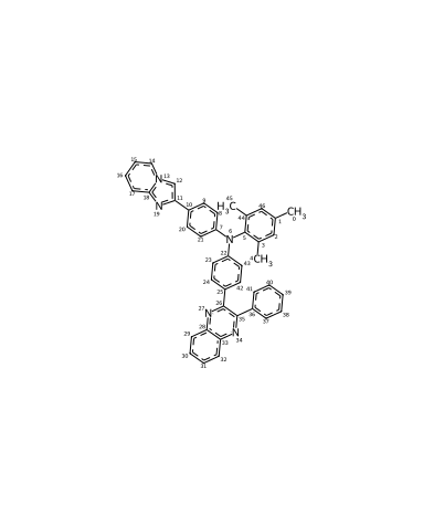 Cc1cc(C)c(N(c2ccc(-c3cn4ccccc4n3)cc2)c2ccc(-c3nc4ccccc4nc3-c3ccccc3)cc2)c(C)c1